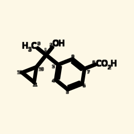 CC(O)(c1cccc(C(=O)O)c1)C1CC1